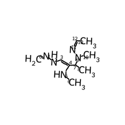 C=NN/C=C(\NC)C(C)N(C)/N=C\C